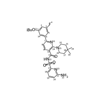 CC(C)COc1cc(F)cc(-c2ccc(C(=O)NS(=O)(=O)c3cccc(N)n3)c(N3CCC(C)(C)CC3)n2)c1